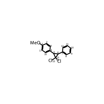 COc1ccc(C2C(c3ccccc3)C2(Cl)Cl)cc1